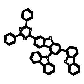 c1ccc(-c2nc(-c3ccccc3)nc(-c3ccc4c(c3)oc3cc(-c5cccc6c5oc5ccccc56)cc(-n5c6ccccc6c6ccccc65)c34)n2)cc1